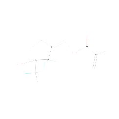 C=C(C)C(=O)O/C=C1/COC(O)(C(F)(F)F)C1(F)F